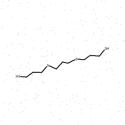 SCCCSCCCSCCCS